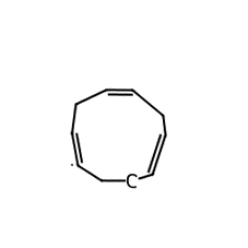 [C]1=CCC=CCC=CCC1